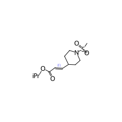 CC(C)OC(=O)/C=C/C1CCN(S(C)(=O)=O)CC1